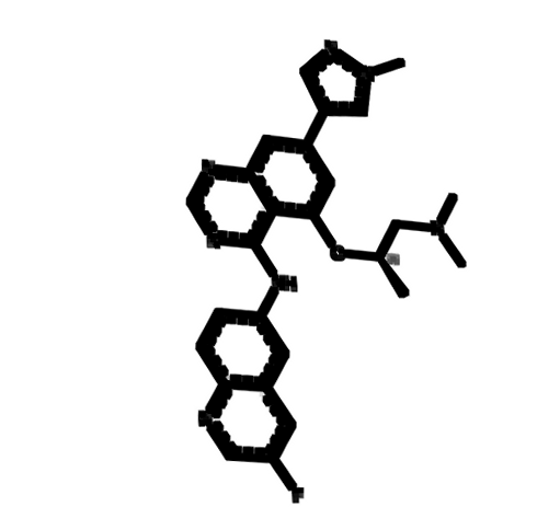 C[C@H](CN(C)C)Oc1cc(-c2cnn(C)c2)cc2ncnc(Nc3ccc4ncc(F)cc4c3)c12